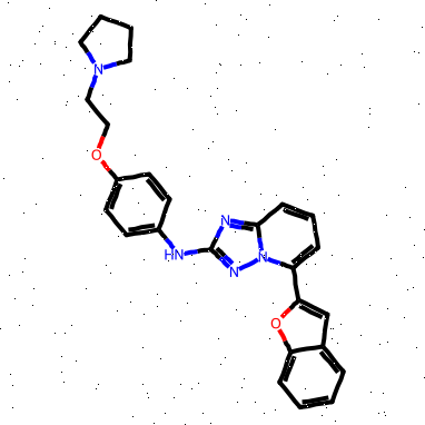 c1ccc2oc(-c3cccc4nc(Nc5ccc(OCCN6CCCC6)cc5)nn34)cc2c1